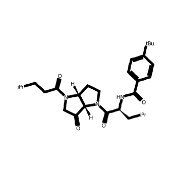 CC(C)CCC(=O)N1CC(=O)[C@@H]2[C@H]1CCN2C(=O)[C@H](CC(C)C)NC(=O)c1ccc(C(C)(C)C)cc1